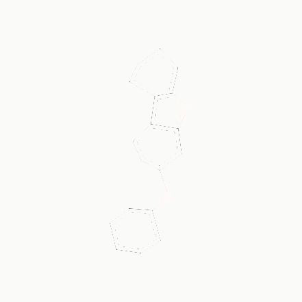 [c]1ccc(Oc2ccc3c(c2)oc2ccccc23)cc1